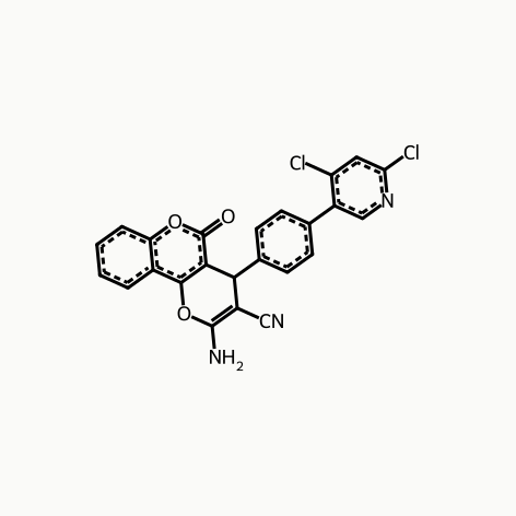 N#CC1=C(N)Oc2c(c(=O)oc3ccccc23)C1c1ccc(-c2cnc(Cl)cc2Cl)cc1